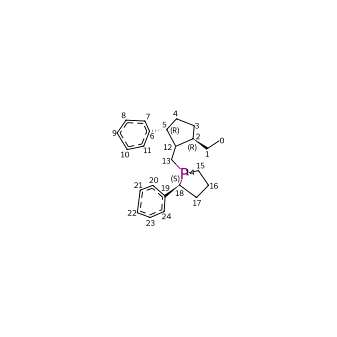 CC[C@@H]1CC[C@@H](c2ccccc2)C1CP1CCC[C@H]1c1ccccc1